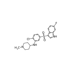 CN1CCC(Nc2cc(S(=O)(=O)c3c[nH]c4cc(F)ccc34)ccc2Cl)CC1